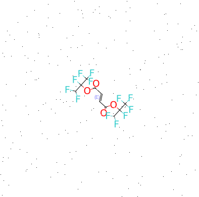 O=C(/C=C/C(=O)OC(F)(C(F)F)C(F)(F)F)OC(F)(C(F)F)C(F)(F)F